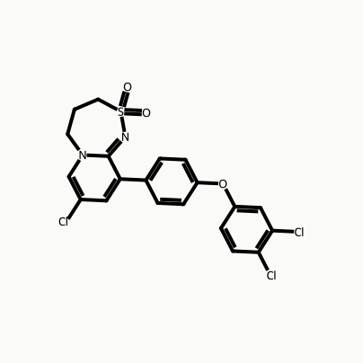 O=S1(=O)CCCN2C=C(Cl)C=C(c3ccc(Oc4ccc(Cl)c(Cl)c4)cc3)C2=N1